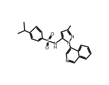 Cc1cc(NS(=O)(=O)c2ccc(C(C)C)cc2)n(-c2cncc3ccccc23)n1